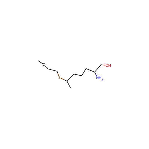 CCCCSC(C)CCCC(N)CO